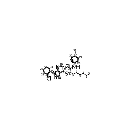 CCCCCCC(Sc1ncnc2c1cnn2-c1ccccc1Cl)C(=O)Nc1ccc(C)cn1